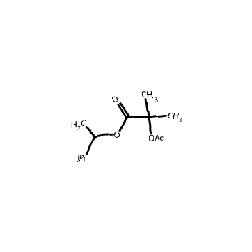 CC(=O)OC(C)(C)C(=O)OC(C)C(C)C